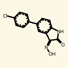 O=C1Nc2ccc(-c3ccc(Cl)cc3)cc2C1=NO